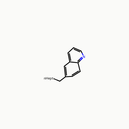 CCCCCCCCc1ccc2ncccc2c1